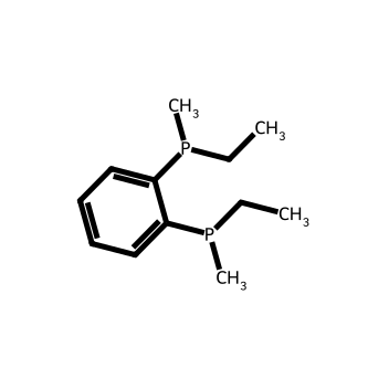 CCP(C)c1ccccc1P(C)CC